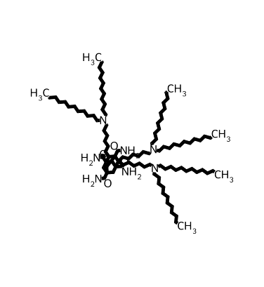 CCCCCCCCCCCCN(CCCCCCCCCCCC)CCCCCCC1C2(C(N)=O)CC3(C(N)=O)CC(C(N)=O)(C2)C(CCCCCCN(CCCCCCCCCCCC)CCCCCCCCCCCC)(CCCCCCN(CCCCCCCCCCCC)CCCCCCCCCCCC)C1(C(N)=O)C3